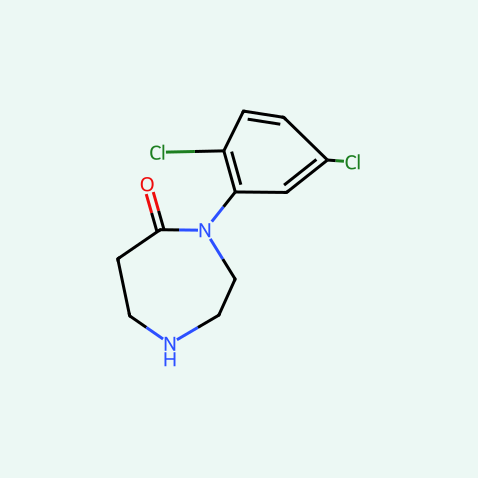 O=C1CCNCCN1c1cc(Cl)ccc1Cl